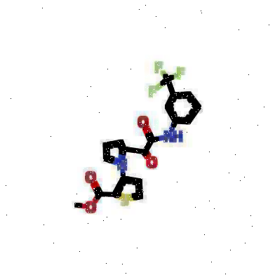 COC(=O)c1sccc1-n1cccc1C(=O)C(=O)Nc1cccc(C(F)(F)F)c1